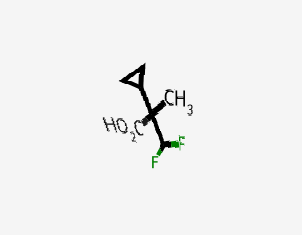 CC(C(=O)O)(C(F)F)C1CC1